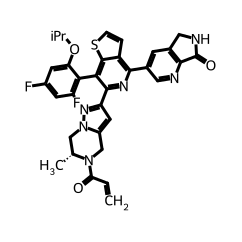 C=CC(=O)N1Cc2cc(-c3nc(-c4cnc5c(c4)CNC5=O)c4ccsc4c3-c3c(F)cc(F)cc3OC(C)C)nn2C[C@H]1C